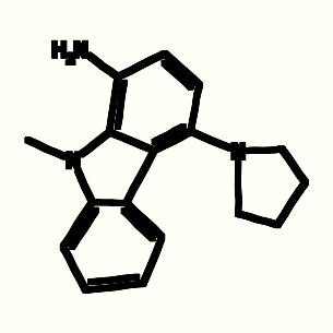 Cn1c2ccccc2c2c(N3CCCC3)ccc(N)c21